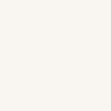 COCOCC1CC[C@@H](COCOC)N1C(=O)C(C)(C)C